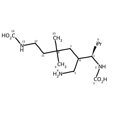 CC(C)[C@@H](NC(=O)O)C(CN)CC(C)(C)CCNC(=O)O